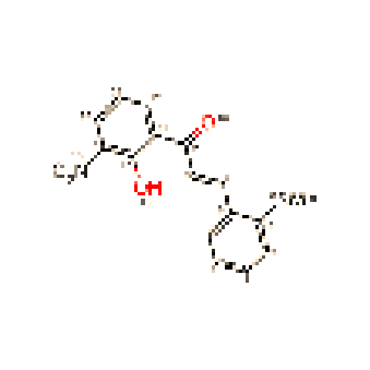 CSc1ccccc1C=CC(=O)c1cccc([N+](=O)[O-])c1O